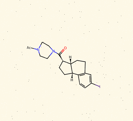 CC(=O)N1CCN(C(=O)[C@@H]2CC[C@H]3c4ccc(I)cc4CC[C@@H]23)CC1